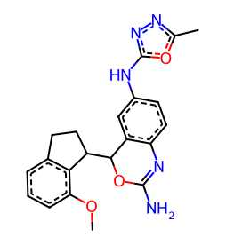 COc1cccc2c1C(C1OC(N)=Nc3ccc(Nc4nnc(C)o4)cc31)CC2